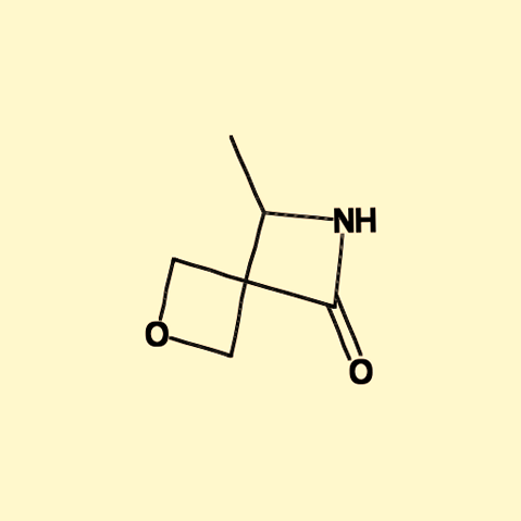 CC1NC(=O)C12COC2